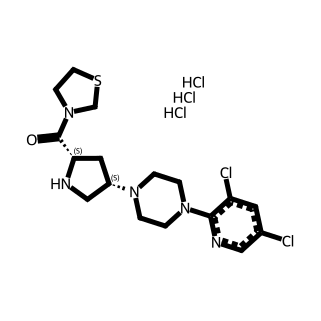 Cl.Cl.Cl.O=C([C@@H]1C[C@H](N2CCN(c3ncc(Cl)cc3Cl)CC2)CN1)N1CCSC1